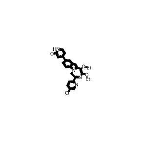 CCOC1=C(OCC)c2cc3cc(-c4cc[nH]c(=O)c4)ccc3n2CC(c2ccc(Cl)cn2)=N1